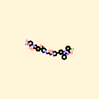 O=C1CC[C@H](N2Cc3c(ccc4c3OCC43CCN(CC(O)CN4CCC(c5ccc6c(c5)C5(CCCCC5)c5nc(=O)c7c(Cl)cccc7n5-6)CC4)CC3)C2=O)C(=O)N1